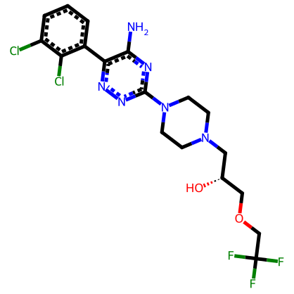 Nc1nc(N2CCN(C[C@@H](O)COCC(F)(F)F)CC2)nnc1-c1cccc(Cl)c1Cl